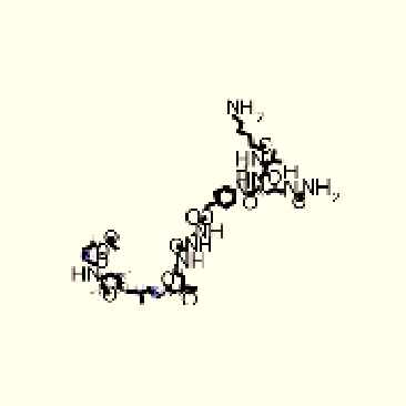 CC(=O)O[C@@H](C)/C=C\C(=O)N[C@@H]1C[C@H](C)[C@H](C/C=C(C)/C=C/[C@@H]2C[C@]3(CO3)C[C@@H](CNC(=O)NCNC(=O)OCc3ccc(NC(=O)[C@H](CCCNC(N)=O)NC(=O)[C@@H](NC(=O)CCCCCN)C(C)C)cc3)O2)O[C@@H]1C